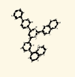 c1ccc(-c2ccc(-c3cc(-c4cccc(-c5cccc6cccnc56)c4)nc(-c4ccc5ccccc5c4)n3)cc2)cc1